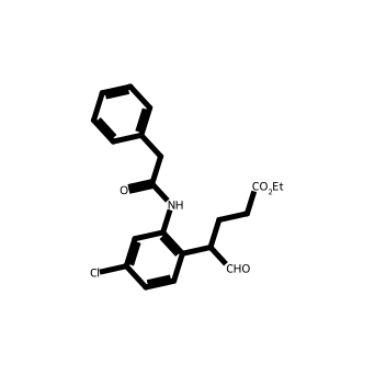 CCOC(=O)CCC(C=O)c1ccc(Cl)cc1NC(=O)Cc1ccccc1